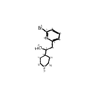 OC(Cc1cccc(Br)n1)C1CCSCC1